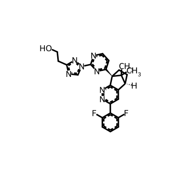 CC1(C)[C@H]2CC[C@@]1(c1ccnc(-n3cnc(CCO)n3)n1)c1nnc(-c3c(F)cccc3F)cc12